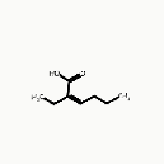 CCC/C=C(/CC)C(=O)O